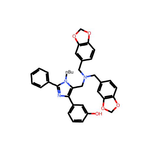 CCCCn1c(-c2ccccc2)nc(-c2cccc(O)c2)c1CN(Cc1ccc2c(c1)OCO2)Cc1ccc2c(c1)OCO2